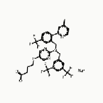 Cc1ccnc(-c2ccc(C(F)(F)F)cc2CN(Cc2cc(C(F)(F)F)cc(C(F)(F)F)c2)c2ncc(OCCCC(=O)[O-])cn2)c1.[Na+]